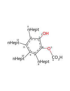 CCCCCCCc1c(O)c(OC(=O)O)c(CCCCCCC)c(CCCCCCC)c1CCCCCCC